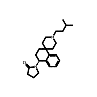 CC(C)CCN1CCC2(CC[C@H](N3CCCC3=O)c3ccccc32)CC1